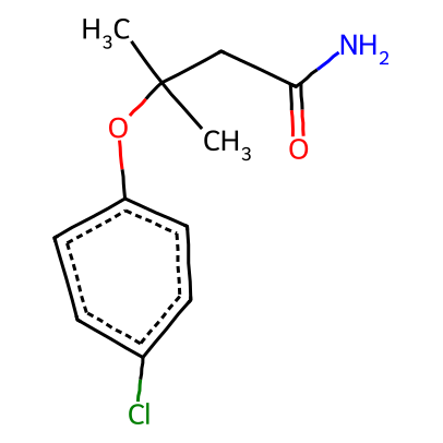 CC(C)(CC(N)=O)Oc1ccc(Cl)cc1